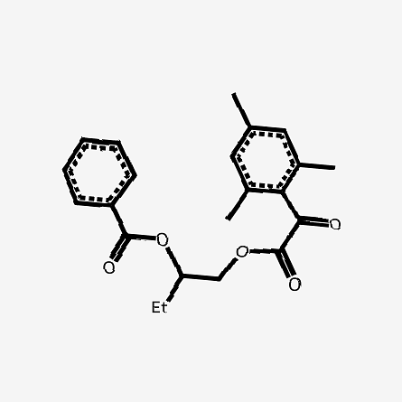 CCC(COC(=O)C(=O)c1c(C)cc(C)cc1C)OC(=O)c1ccccc1